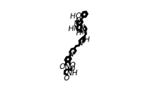 O=C1CCC(N2C(=O)c3ccc(N4CCC(CCN5CC6=C(CN7CCN8c9cc(-c%10ccccc%10O)nnc9NC[C@H]8C7)[C@@H]6C5)CC4)cc3C2=O)C(=O)N1